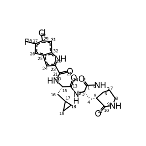 NC(=O)[C@H](C[C@@H]1CCCNC1=O)NC(=O)[C@H](CC1CC1)NC(=O)c1cc2cc(F)c(Cl)cc2[nH]1